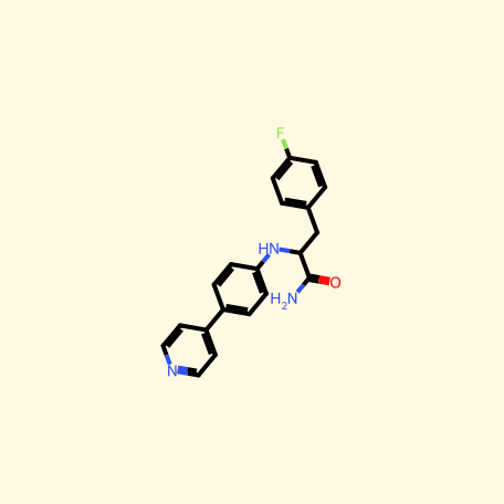 NC(=O)C(Cc1ccc(F)cc1)Nc1ccc(-c2ccncc2)cc1